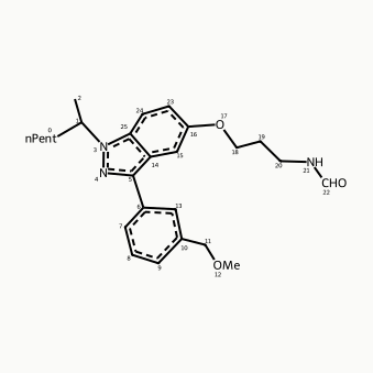 CCCCCC(C)n1nc(-c2cccc(COC)c2)c2cc(OCCCNC=O)ccc21